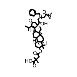 CC(C)C1=C2[C@H]3CC[C@@H]4[C@@]5(C)CCC(OC(=O)CC(C)(C)C(=O)O)C(C)(C)[C@@H]5CC[C@@]4(C)[C@]3(C)CC[C@@]2([C@@H](O)CN(CC(=O)N(C)C)Cc2ccccc2)CC1=O